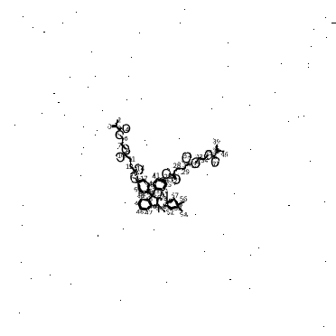 C=C(C)C(=O)OCCOC(=O)CCC(=O)Oc1ccc(C2(c3ccc(OC(=O)CCC(=O)OCCOC(=O)C(=C)C)cc3)c3ccccc3-c3nc4cc(C)c(C)cc4nc32)cc1